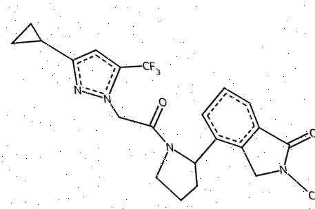 CN1Cc2c(cccc2C2CCCN2C(=O)Cn2nc(C3CC3)cc2C(F)(F)F)C1=O